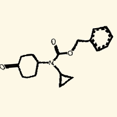 O=C1CCC(N(C(=O)OCc2ccccc2)C2CC2)CC1